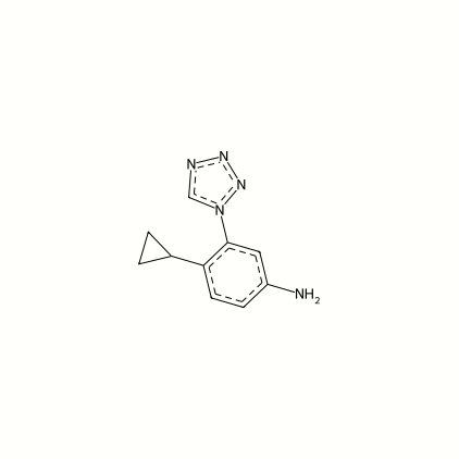 Nc1ccc(C2CC2)c(-n2cnnn2)c1